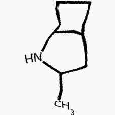 CC1CC2CCC2N1